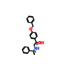 C[C@H](NC[C@H](O)c1ccc(OCc2ccccc2)cc1)c1ccccc1